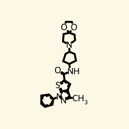 Cc1nn(-c2ccccc2)c2sc(C(=O)NC3CCC(N4CCC5(CC4)OCCO5)CC3)cc12